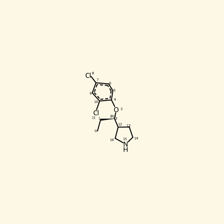 CC[C@@H](Oc1ccc(Cl)cc1Cl)C1CCNC1